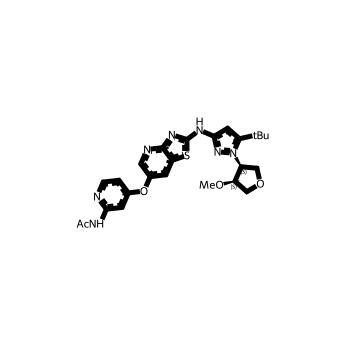 CO[C@@H]1COC[C@@H]1n1nc(Nc2nc3ncc(Oc4ccnc(NC(C)=O)c4)cc3s2)cc1C(C)(C)C